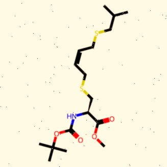 COC(=O)[C@H](CSC/C=C\CSCC(C)C)NC(=O)OC(C)(C)C